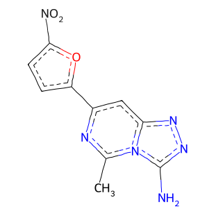 Cc1nc(-c2ccc([N+](=O)[O-])o2)cc2nnc(N)n12